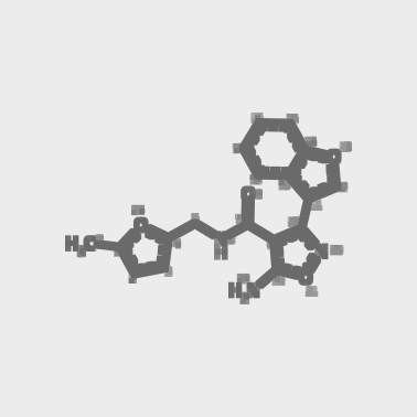 Cc1ccc(CNC(=O)c2c(-c3coc4ccccc34)noc2N)o1